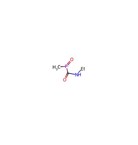 CCNC(=O)[P](C)=O